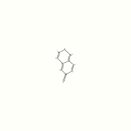 O=C1C=CC2=NCN=CC2=C1